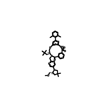 COC[C@H]1CC(C)(C)CN1c1cnc(CN2C(=O)c3cccc(c3)S(=O)(=O)Nc3nc(cc(-c4c(C)cccc4C)n3)OC[C@H]2CC(C)(C)C)nc1